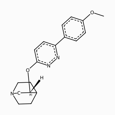 COc1ccc(-c2ccc(O[C@H]3CN4CCC3CC4)nn2)cc1